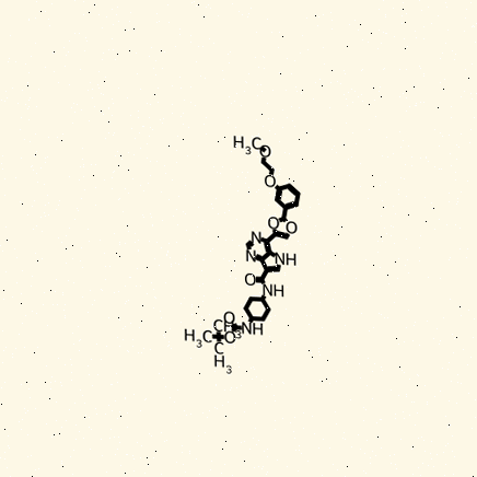 COCCOc1cccc(C2OC=C(c3ncnc4c(C(=O)NC5CCC(NC(=O)OC(C)(C)C)CC5)c[nH]c34)O2)c1